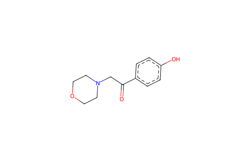 O=C(CN1CCOCC1)c1ccc(O)cc1